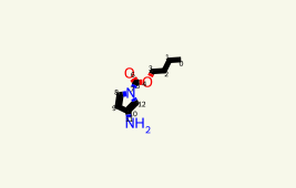 CCCCOC(=O)n1ccc(N)c1